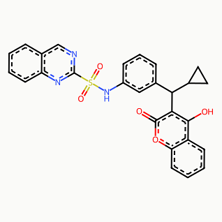 O=c1oc2ccccc2c(O)c1C(c1cccc(NS(=O)(=O)c2ncc3ccccc3n2)c1)C1CC1